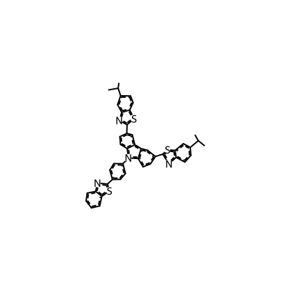 CC(C)c1ccc2sc(-c3ccc4c(c3)c3cc(-c5nc6ccc(C(C)C)cc6s5)ccc3n4-c3ccc(-c4nc5ccccc5s4)cc3)nc2c1